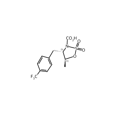 C[C@@H]1OS(=O)(=O)N(C(=O)O)[C@H]1Cc1ccc(C(F)(F)F)cc1